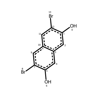 Oc1cc2cc(O)c(Br)cc2cc1Br